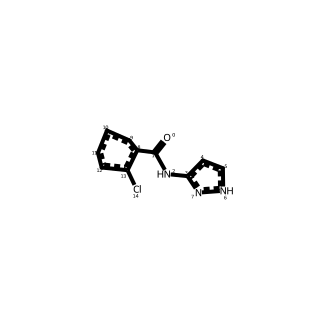 O=C(Nc1cc[nH]n1)c1ccccc1Cl